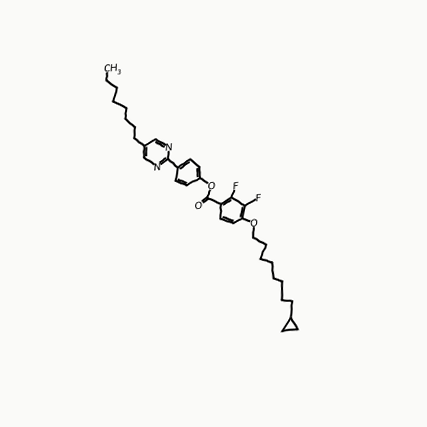 CCCCCCCCc1cnc(-c2ccc(OC(=O)c3ccc(OCCCCCCCCC4CC4)c(F)c3F)cc2)nc1